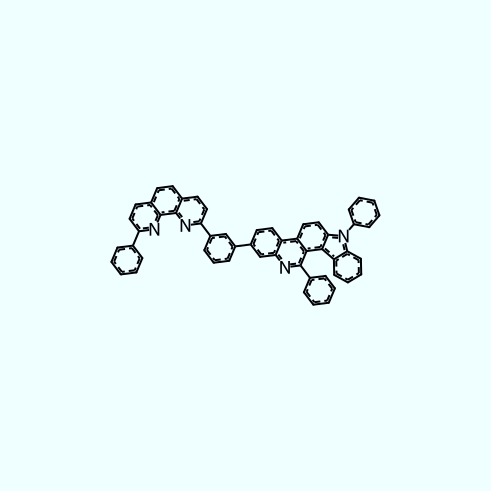 c1ccc(-c2ccc3ccc4ccc(-c5cccc(-c6ccc7c(c6)nc(-c6ccccc6)c6c7ccc7c6c6ccccc6n7-c6ccccc6)c5)nc4c3n2)cc1